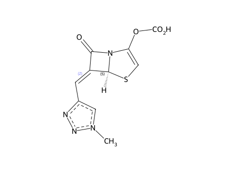 Cn1cc(/C=C2/C(=O)N3C(OC(=O)O)=CS[C@@H]23)nn1